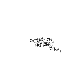 C[C@H]1C[C@H]2[C@@H]3CCC4=CC(=O)C=C[C@]4(C)[C@@]3(F)[C@@H](O)C[C@]2(C)[C@@]1(O)C(=O)COC(=O)CN